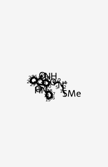 CSCC[N+](C)(C)CCOc1cc(Nc2ccccc2)c2c(c1N)C(=O)c1ccccc1C2=O